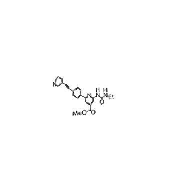 CCNC(=O)Nc1cc(C(=O)OC)cc(-c2ccc(C#Cc3cccnc3)cc2)n1